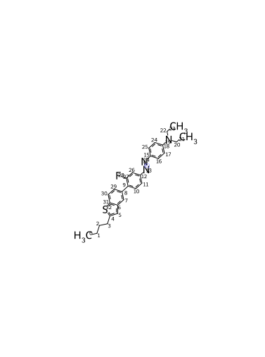 CCCCc1cc2cc(-c3ccc(/N=N/c4ccc(N(CC)CC)cc4)cc3F)ccc2s1